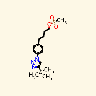 C[Si](C)(C)c1cn(-c2ccc(CCCCOS(C)(=O)=O)cc2)nn1